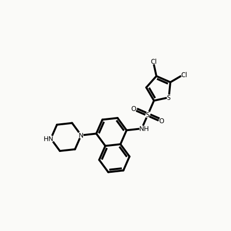 O=S(=O)(Nc1ccc(N2CCNCC2)c2ccccc12)c1cc(Cl)c(Cl)s1